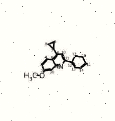 COc1ccc2c(C3CC3)cc(C3=CC=CCC3)nc2c1